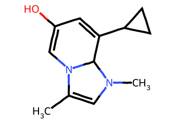 CC1=CN(C)C2C(C3CC3)=CC(O)=CN12